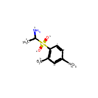 CC(N)S(=O)(=O)c1ccc([N+](=O)[O-])cc1[N+](=O)[O-]